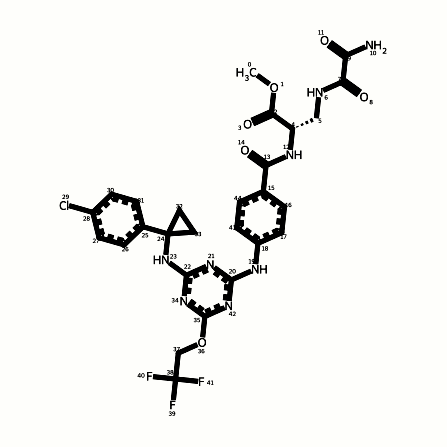 COC(=O)[C@H](CNC(=O)C(N)=O)NC(=O)c1ccc(Nc2nc(NC3(c4ccc(Cl)cc4)CC3)nc(OCC(F)(F)F)n2)cc1